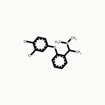 CC(c1ccccc1Oc1ccc(Cl)c(Cl)c1)N(C)C